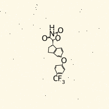 O=C1NC(=O)C([C@@H]2CCc3cc(Oc4ccc(C(F)(F)F)cc4)ccc32)O1